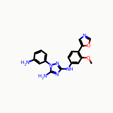 COc1cc(Nc2nc(N)n(-c3cccc(N)c3)n2)ccc1-c1cnco1